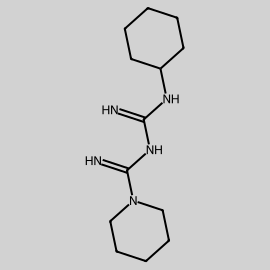 N=C(NC(=N)N1CCCCC1)NC1CCCCC1